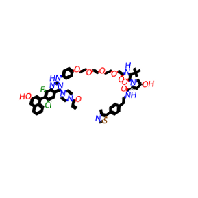 C=CC(=O)N1CCN(c2nc(Nc3ccc(OCCOCCOCCOCC(=O)N[C@H](C(=O)N4C[C@@H](O)C[C@H]4C(=O)NCCc4ccc(-c5scnc5C)cc4)C(C)(C)C)cc3)nc3c(F)c(-c4cc(O)cc5ccccc45)c(Cl)cc23)CC1